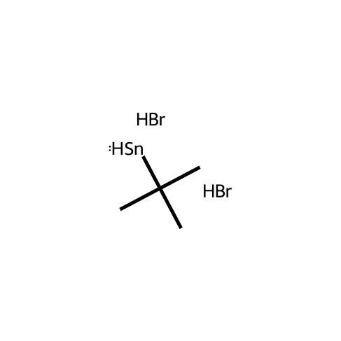 Br.Br.C[C](C)(C)[SnH]